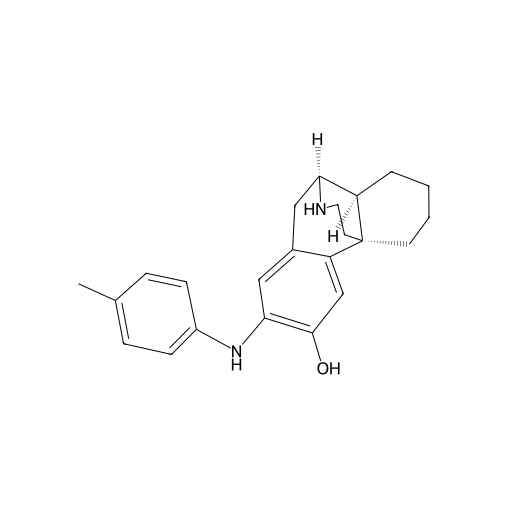 Cc1ccc(Nc2cc3c(cc2O)[C@]24CCCC[C@@H]2[C@H](C3)NCC4)cc1